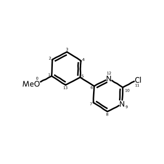 COc1cccc(-c2ccnc(Cl)n2)c1